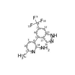 Cc1ccc(-c2cc(C(F)(F)F)cc3[nH]ncc23)c(N)n1